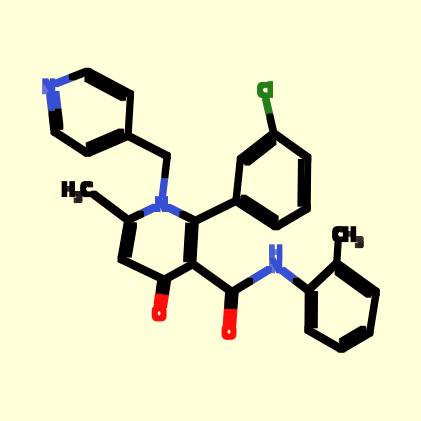 Cc1ccccc1NC(=O)c1c(-c2cccc(Cl)c2)n(Cc2ccncc2)c(C)cc1=O